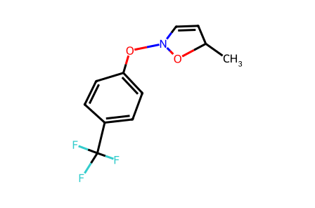 CC1C=CN(Oc2ccc(C(F)(F)F)cc2)O1